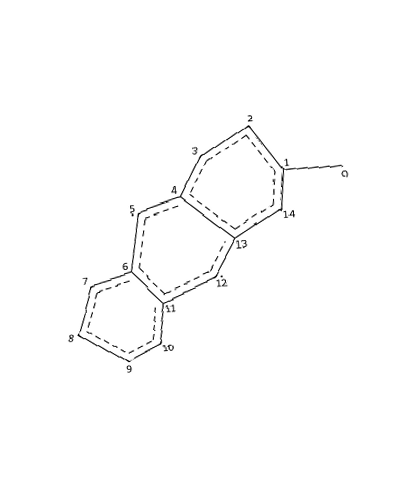 Cc1ccc2[c]c3ccccc3[c]c2c1